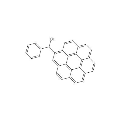 OC(c1ccccc1)c1cc2ccc3ccc4ccc5ccc6ccc1c1c6c5c4c3c21